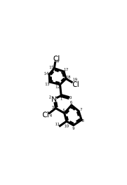 C=C(/N=C(/Cl)c1ccccc1C)c1ccc(Cl)cc1Cl